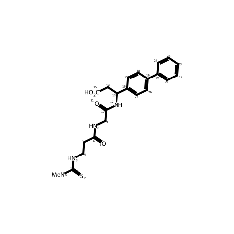 CNC(=S)NCCC(=O)NCC(=O)NC(CC(=O)O)c1ccc(-c2ccccc2)cc1